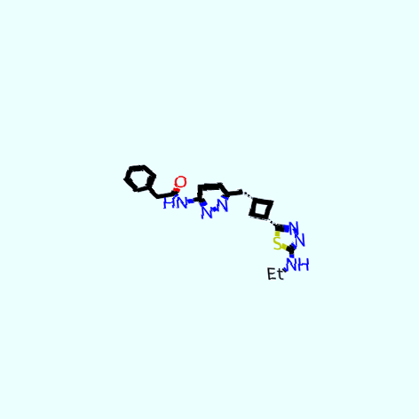 CCNc1nnc([C@H]2C[C@@H](Cc3ccc(NC(=O)Cc4ccccc4)nn3)C2)s1